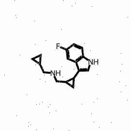 Fc1ccc2[nH]cc(C3CC3CNCC3CC3)c2c1